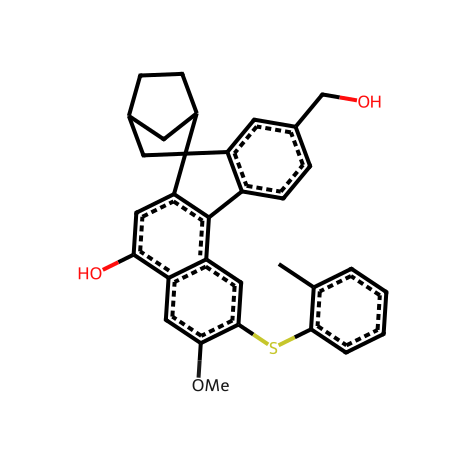 COc1cc2c(O)cc3c(c2cc1Sc1ccccc1C)-c1ccc(CO)cc1C31CC2CCC1C2